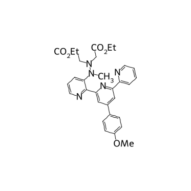 CCOC(=O)CN(CC(=O)OCC)N(C)c1cccnc1-c1cc(-c2ccc(OC)cc2)cc(-c2ccccn2)n1